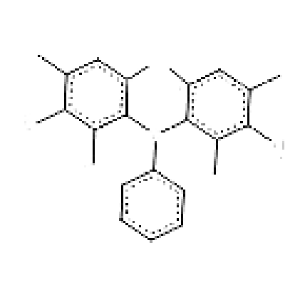 Cc1cc(C)c(B(c2ccccc2)c2c(C)cc(C)c(Cl)c2C)c(C)c1Cl